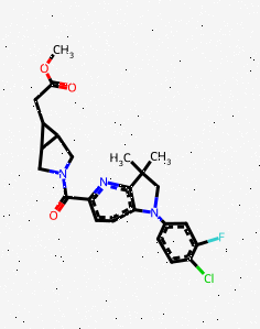 COC(=O)CC1C2CN(C(=O)c3ccc4c(n3)C(C)(C)CN4c3ccc(Cl)c(F)c3)CC12